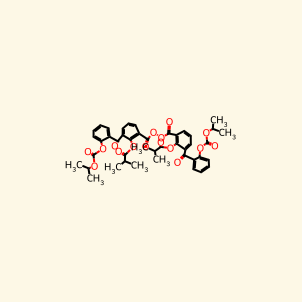 CC(C)OC(=O)Oc1ccccc1C(=O)c1cccc(C(=O)OOC(=O)c2cccc(C(=O)c3ccccc3OC(=O)OC(C)C)c2OC(=O)C(C)C)c1OC(=O)C(C)C